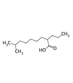 CCCC(CCCCCC(C)C)C(=O)O